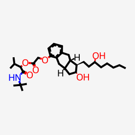 CCCCC[C@H](O)CC[C@@H]1[C@H]2Cc3cccc(OCC(=O)OC(C(=O)NC(C)(C)C)C(C)C)c3C[C@H]2C[C@H]1O